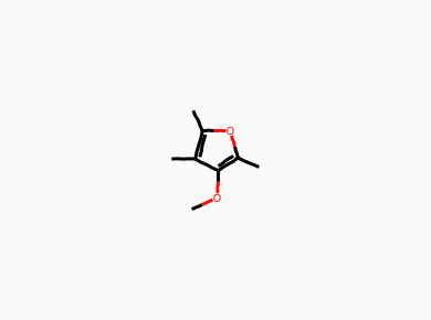 COc1c(C)oc(C)c1C